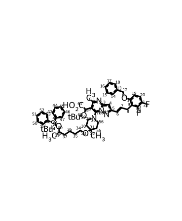 Cc1nc2cc(/C=C/Cc3c(OCc4ccccc4)ccc(F)c3F)nn2c(N2CCC(C)(OCCCC[C@@H](C)O[Si](c3ccccc3)(c3ccccc3)C(C)(C)C)CC2)c1C(OC(C)(C)C)C(=O)O